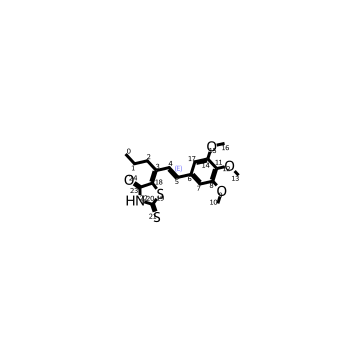 CCCC(/C=C/c1cc(OC)c(OC)c(OC)c1)=C1SC(=S)NC1=O